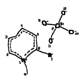 C[n+]1ccccc1Br.[O-][Cl+3]([O-])([O-])[O-]